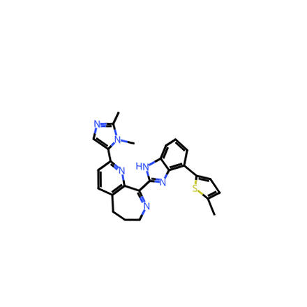 Cc1ccc(-c2cccc3[nH]c(C4=NCCCc5ccc(-c6cnc(C)n6C)nc54)nc23)s1